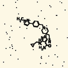 Cn1ccc(-c2ccc(CN3CCC(CC#N)(n4cc(C(N)=O)c(NCC5CC5)n4)CC3)cc2)n1